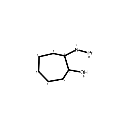 CC(C)[N]C1CCCCCC1O